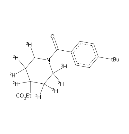 [2H]C1N(C(=O)c2ccc(C(C)(C)C)cc2)C([2H])([2H])C([2H])([2H])C([2H])(C(=O)OCC)C1([2H])[2H]